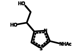 CC(=O)Nc1nc(C(O)CO)cs1